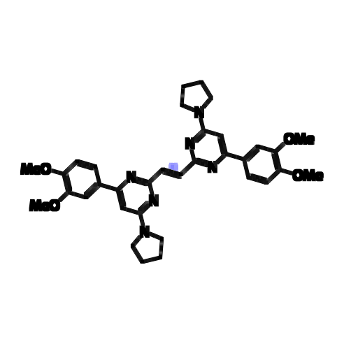 COc1ccc(-c2cc(N3CCCC3)nc(/C=C/c3nc(-c4ccc(OC)c(OC)c4)cc(N4CCCC4)n3)n2)cc1OC